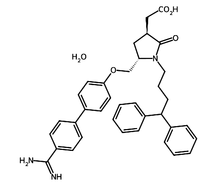 N=C(N)c1ccc(-c2ccc(OC[C@@H]3C[C@@H](CC(=O)O)C(=O)N3CCCC(c3ccccc3)c3ccccc3)cc2)cc1.O